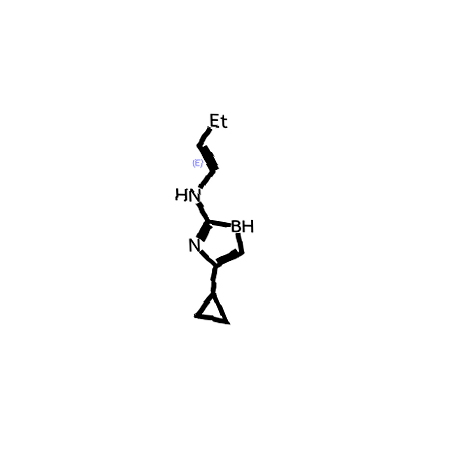 CC/C=C/NC1=NC(C2CC2)=CB1